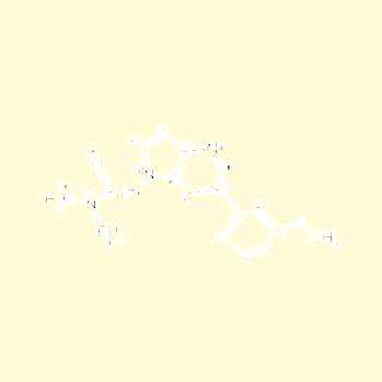 CCc1cccc(-c2cnc3ccn(CC(=O)N(C)C)c3c2)c1